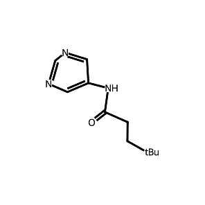 CC(C)(C)CCC(=O)Nc1cncnc1